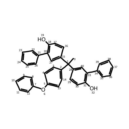 CC(c1ccc(Oc2ccccc2)cc1)(c1ccc(O)c(-c2ccccc2)c1)c1ccc(O)c(-c2ccccc2)c1